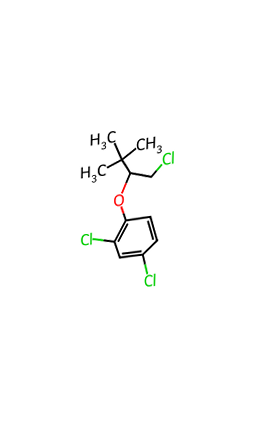 CC(C)(C)C(CCl)Oc1ccc(Cl)cc1Cl